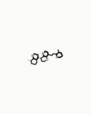 Cc1cccnc1CCc1ccnc2c1OCC[C@@H]2c1ccnc2c1CCC[C@@H]2C